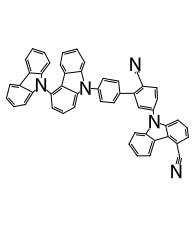 N#Cc1ccc(-n2c3ccccc3c3c(C#N)cccc32)cc1-c1ccc(-n2c3ccccc3c3c(-n4c5ccccc5c5ccccc54)cccc32)cc1